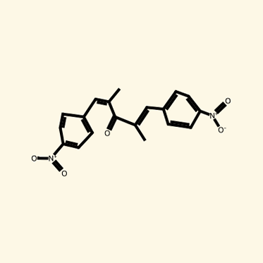 CC(=Cc1ccc([N+](=O)[O-])cc1)C(=O)C(C)=Cc1ccc([N+](=O)[O-])cc1